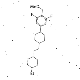 CC[C@H]1CC[C@H](CCC2CCC(c3cc(F)c(COC)c(F)c3)CC2)CC1